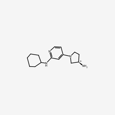 N[C@@H]1CCN(c2ccnc(NC3CCCCC3)c2)C1